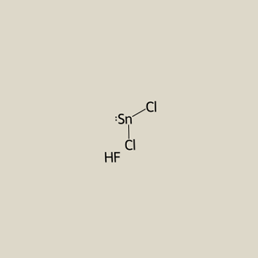 F.[Cl][Sn][Cl]